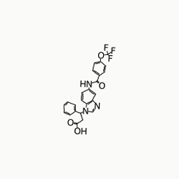 O=C(O)CC(c1ccccc1)n1cnc2cc(NC(=O)c3ccc(OC(F)(F)F)cc3)ccc21